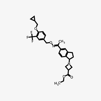 CCOC(=O)C1CN(C2CCc3cc(/C(C)=N/OCc4ccc(OCC5CC5)c(C(F)(F)F)c4)ccc32)C1